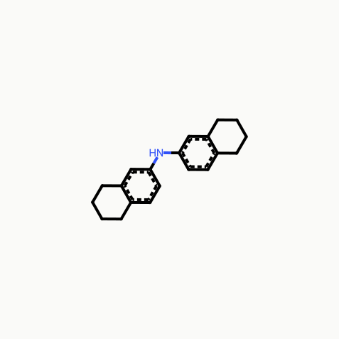 c1cc2c(cc1Nc1ccc3c(c1)CCCC3)CCCC2